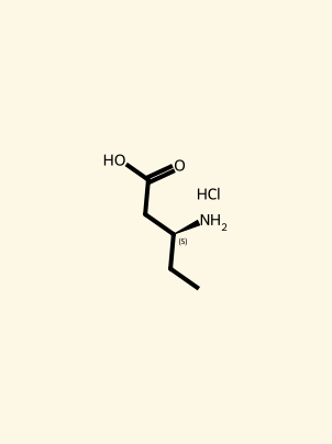 CC[C@H](N)CC(=O)O.Cl